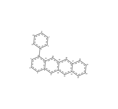 c1ccc(-c2cccc3cc4cc5ccccc5cc4cc23)cc1